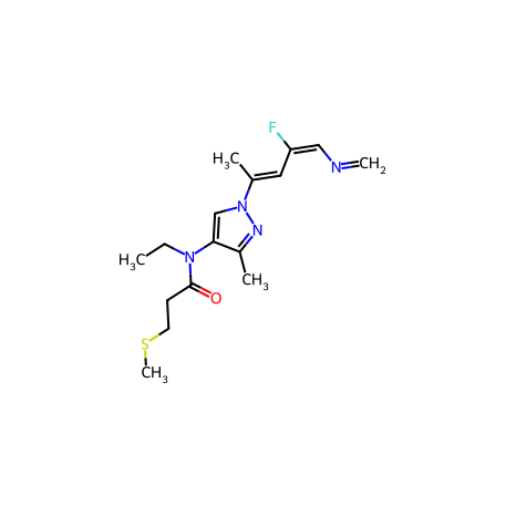 C=N/C=C(F)\C=C(/C)n1cc(N(CC)C(=O)CCSC)c(C)n1